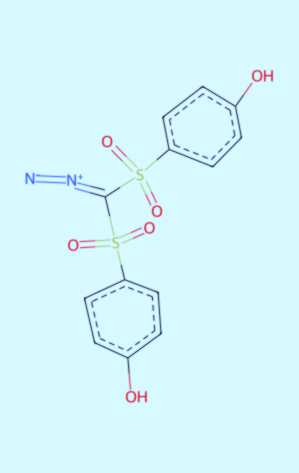 [N-]=[N+]=C(S(=O)(=O)c1ccc(O)cc1)S(=O)(=O)c1ccc(O)cc1